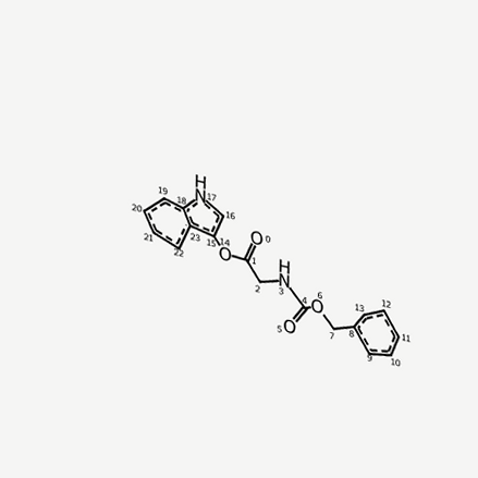 O=C(CNC(=O)OCc1ccccc1)Oc1c[nH]c2ccccc12